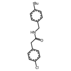 CC(C)(C)c1ccc(CNC(=O)Cc2ccc(Cl)cc2)cc1